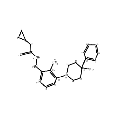 O=C(CC1CC1)NNc1nccc(N2CCC(F)(c3ccccc3)CC2)c1C(F)(F)F